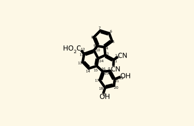 N#CC(C#N)=C1c2ccccc2-c2c(C(=O)O)ccc(-c3cc(O)cc(O)c3)c21